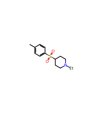 CCN1CCC(S(=O)(=O)c2ccc(C)cc2)CC1